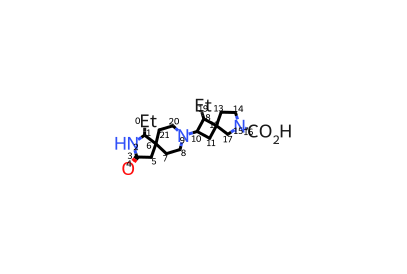 CCC1NC(=O)CC12CCN(C1CC3(CCN(C(=O)O)C3)C1CC)CC2